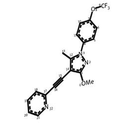 COc1nn(-c2ccc(OC(F)(F)F)cc2)c(C)c1C#Cc1ccccn1